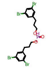 O=[PH](OCCCc1cc(Br)cc(Br)c1)OCCCc1cc(Br)cc(Br)c1